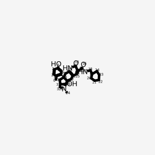 Cc1ccc(O)cc1[C@@]12Cc3[nH]c(=O)c(C(=O)NCC4CCCCC4)cc3C[C@@]1(O)C1C(CN1C)C2